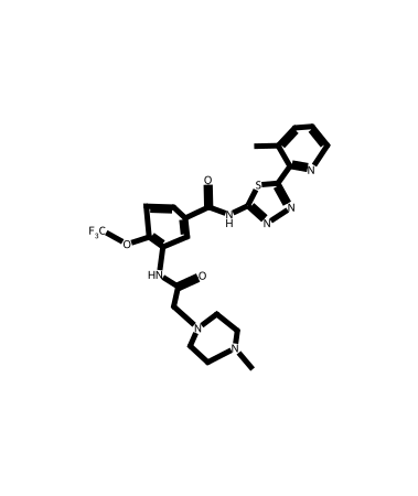 Cc1cccnc1-c1nnc(NC(=O)c2ccc(OC(F)(F)F)c(NC(=O)CN3CCN(C)CC3)c2)s1